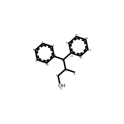 CC(CO)C(c1ccccc1)c1ccccc1